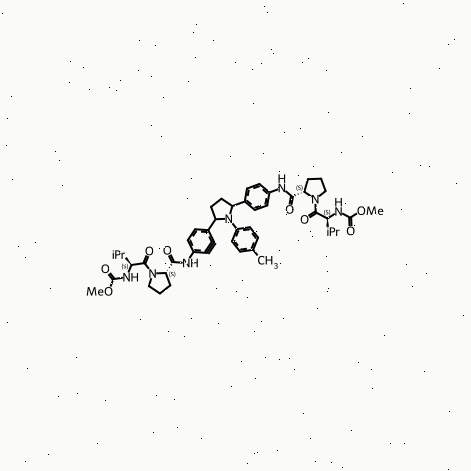 COC(=O)N[C@H](C(=O)N1CCC[C@H]1C(=O)Nc1c#cc(C2CCC(c3ccc(NC(=O)[C@@H]4CCCN4C(=O)[C@@H](NC(=O)OC)C(C)C)cc3)N2c2ccc(C)cc2)cc1)C(C)C